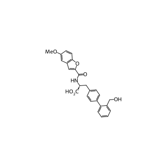 COc1ccc2oc(C(=O)N[C@@H](Cc3ccc(-c4ccccc4CO)cc3)C(=O)O)cc2c1